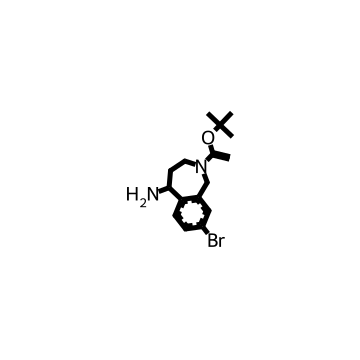 C=C(OC(C)(C)C)N1CCC(N)c2ccc(Br)cc2C1